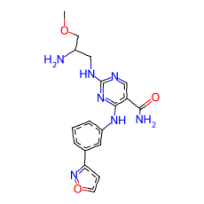 COCC(N)CNc1ncc(C(N)=O)c(Nc2cccc(-c3ccon3)c2)n1